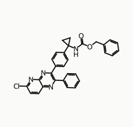 O=C(NC1(c2ccc(-c3nc4nc(Cl)ccc4nc3-c3ccccc3)cc2)CC1)OCc1ccccc1